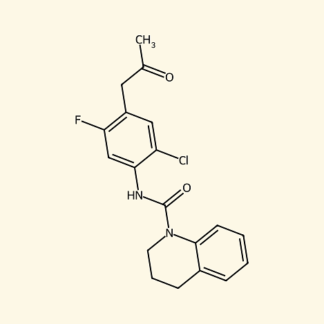 CC(=O)Cc1cc(Cl)c(NC(=O)N2CCCc3ccccc32)cc1F